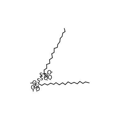 CCCCCCCCCCCCCCCCCC(SSSC(CCCCCCCCCCCCCCCCC)[Si](OC)(OC)OC)[Si](OC)(OC)OC